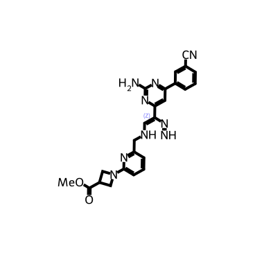 COC(=O)C1CN(c2cccc(CN/C=C(\N=N)c3cc(-c4cccc(C#N)c4)nc(N)n3)n2)C1